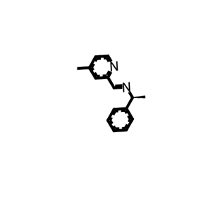 Cc1ccnc(/C=N/[C@@H](C)c2ccccc2)c1